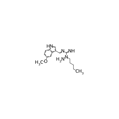 CCCCCN(N)C(=N)N=Cc1c[nH]c2ccc(OC)cc12